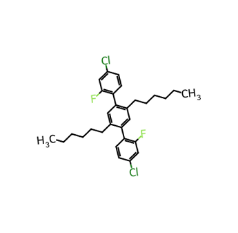 CCCCCCc1cc(-c2ccc(Cl)cc2F)c(CCCCCC)cc1-c1ccc(Cl)cc1F